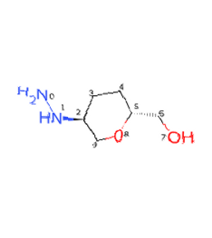 NN[C@H]1CC[C@H](CO)OC1